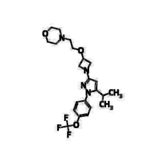 CC(C)c1cc(N2CC(OCCN3CCOCC3)C2)nn1-c1ccc(OC(F)(F)F)cc1